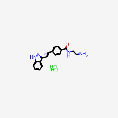 Cl.Cl.NCCNC(=O)c1ccc(/C=C/c2n[nH]c3ccccc23)cc1